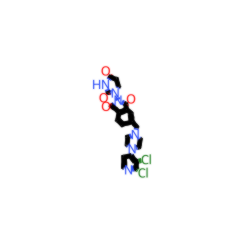 O=C1CCN(N2C(=O)c3ccc(CN4CCN(c5ccnc(Cl)c5Cl)CC4)cc3C2=O)C(=O)N1